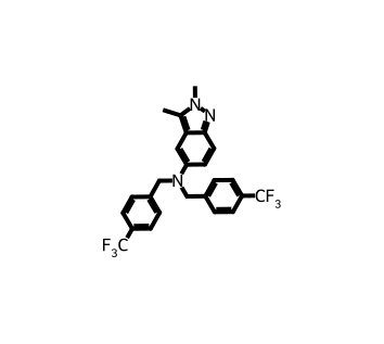 Cc1c2cc(N(Cc3ccc(C(F)(F)F)cc3)Cc3ccc(C(F)(F)F)cc3)ccc2nn1C